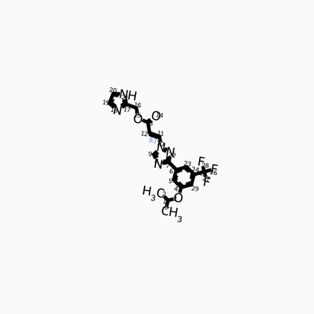 CC(C)Oc1cc(-c2ncn(/C=C/C(=O)OCc3ncc[nH]3)n2)cc(C(F)(F)F)c1